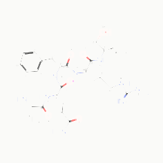 C[C@H](N)C(=O)N[C@@H](CCC(N)=O)C(=O)N[C@@H](Cc1ccccc1)C(=O)N[C@@H](CCCNC(=N)N)C(=O)N[C@@H](CO)C(=O)O